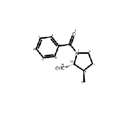 C[C@@H]1CCN(C(=O)c2ccccc2)[C@H]1C=O